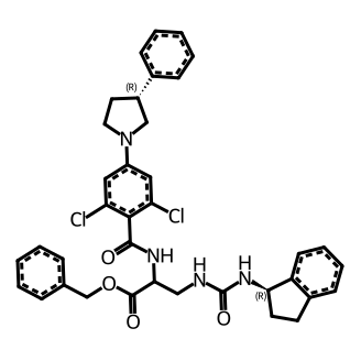 O=C(NCC(NC(=O)c1c(Cl)cc(N2CC[C@H](c3ccccc3)C2)cc1Cl)C(=O)OCc1ccccc1)N[C@@H]1CCc2ccccc21